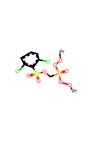 CC(C)OOP(=O)(COS(=O)(=O)c1c(Cl)cccc1Cl)OOC(C)C